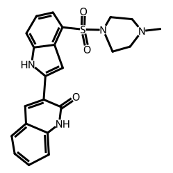 CN1CCN(S(=O)(=O)c2cccc3[nH]c(-c4cc5ccccc5[nH]c4=O)cc23)CC1